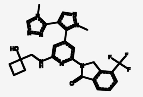 Cn1cnnc1-c1cnn(C)c1-c1cc(NCC2(O)CCC2)nc(N2Cc3c(cccc3C(F)(F)F)C2=O)c1